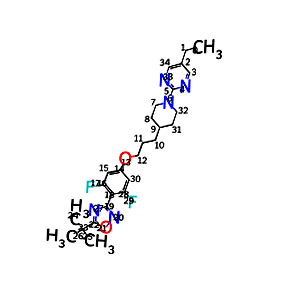 CCc1cnc(N2CCC(CCCOc3cc(F)c(-c4noc(C(C)(C)C)n4)c(F)c3)CC2)nc1